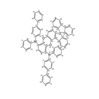 c1ccc(-c2ccc(N(c3ccccc3)c3ccc(N(c4ccccc4)c4ccc(-c5ccccc5)cc4)c4c3Oc3ccc5c(c3O4)-c3ccccc3C53c4ccccc4-c4ccccc43)cc2)cc1